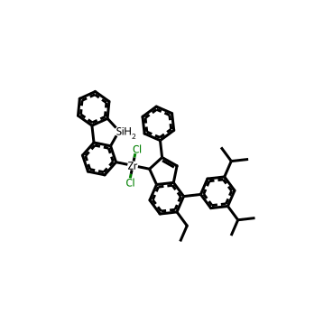 CCc1ccc2c(c1-c1cc(C(C)C)cc(C(C)C)c1)C=C(c1ccccc1)[CH]2[Zr]([Cl])([Cl])[c]1cccc2c1[SiH2]c1ccccc1-2